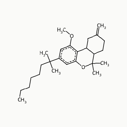 C=C1CCC2C(C1)c1c(OC)cc(C(C)(C)CCCCCC)cc1OC2(C)C